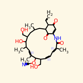 C=CC1C(=O)C=C2NC(=O)/C(C)=C/C=C\C(CO)C(OC#N)/C(C)=C/C(C)C(O)C(CO)CC(C)CC1C2=O